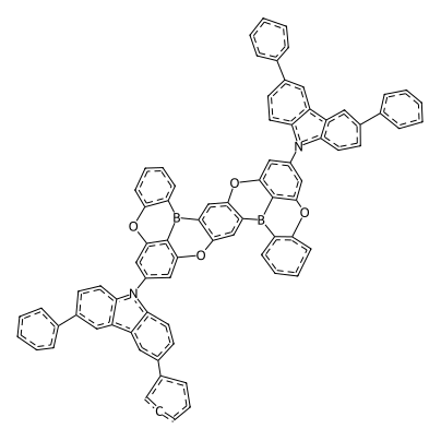 c1ccc(-c2ccc3c(c2)c2cc(-c4ccccc4)ccc2n3-c2cc3c4c(c2)Oc2cc5c(cc2B4c2ccccc2O3)Oc2cc(-n3c4ccc(-c6ccccc6)cc4c4cc(-c6ccccc6)ccc43)cc3c2B5c2ccccc2O3)cc1